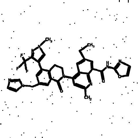 CCc1cc(C(=O)Nc2ncco2)c2nc(C)cc(N3CCc4c(cc(Cn5ccnc5)cc4-c4cn(C)nc4C(F)(F)F)C3=O)c2c1